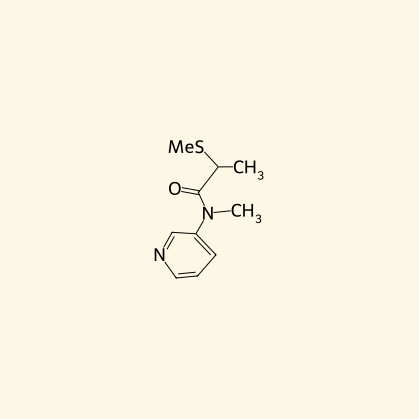 CSC(C)C(=O)N(C)c1cccnc1